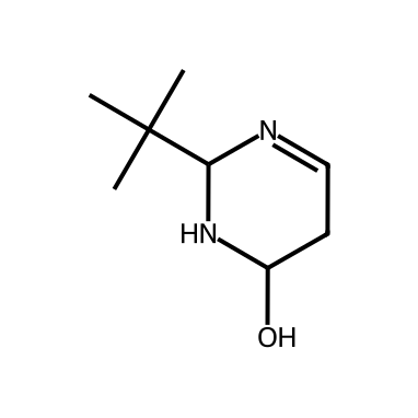 CC(C)(C)C1N=CCC(O)N1